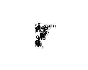 CC(C(=O)NC(CC(=O)OC(C)(C)C)C(=O)COc1c(F)c(F)cc(F)c1F)n1cccc(NC(=O)c2ccc(N)c(Cl)c2)c1=O